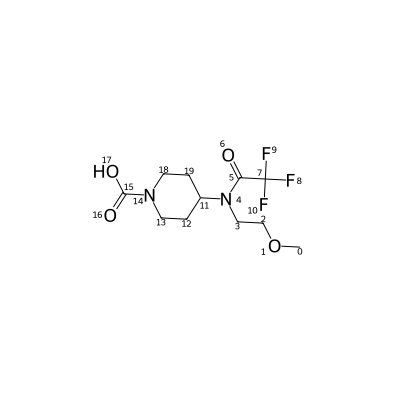 COCCN(C(=O)C(F)(F)F)C1CCN(C(=O)O)CC1